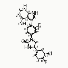 NC1=NCNc2[nH]cc(-c3ccc(N4CC(C5=CC=C(F)C(Cl)C5)NC4=O)cc3F)c21